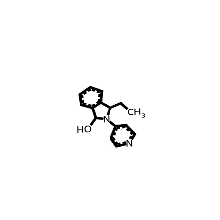 CCC1c2ccccc2C(O)N1c1ccncc1